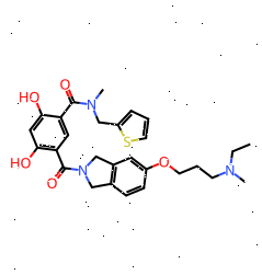 CCN(C)CCCOc1ccc2c(c1)CN(C(=O)c1cc(C(=O)N(C)Cc3cccs3)c(O)cc1O)C2